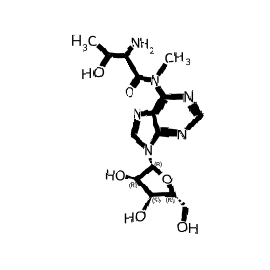 CC(O)C(N)C(=O)N(C)c1ncnc2c1ncn2[C@@H]1O[C@H](CO)[C@@H](O)[C@H]1O